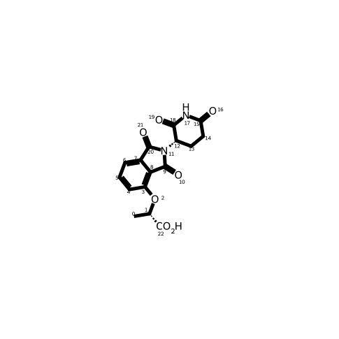 C[C@H](Oc1cccc2c1C(=O)N([C@H]1CCC(=O)NC1=O)C2=O)C(=O)O